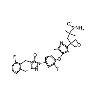 Cc1nc(C2(CC(C)(C)[S+](N)[O-])COC2)sc1Oc1ccc(-n2ncn(Cc3c(F)cccc3F)c2=O)cc1F